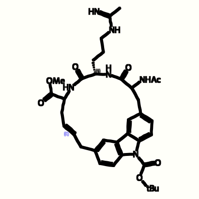 COC(=O)C1C/C=C/Cc2ccc3c(c2)c2cc(ccc2n3C(=O)OC(C)(C)C)CC(NC(C)=O)C(=O)N[C@@H](CCCNC(C)=N)C(=O)N1